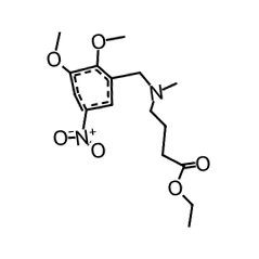 CCOC(=O)CCCN(C)Cc1cc([N+](=O)[O-])cc(OC)c1OC